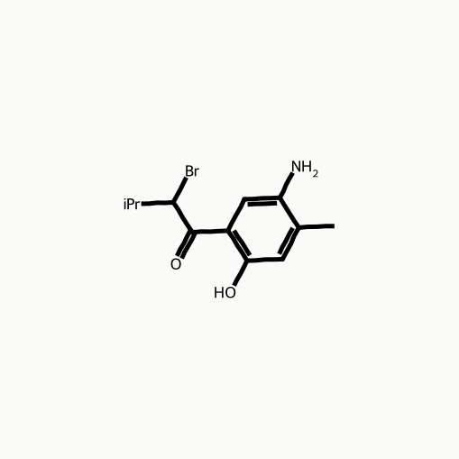 Cc1cc(O)c(C(=O)C(Br)C(C)C)cc1N